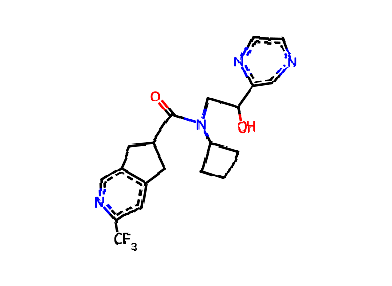 O=C(C1Cc2cnc(C(F)(F)F)cc2C1)N(CC(O)c1cnccn1)C1CCC1